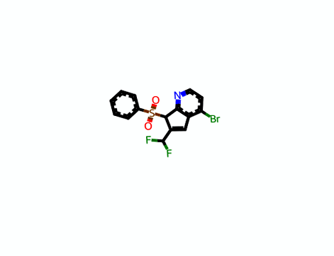 O=S(=O)(c1ccccc1)C1C(C(F)F)=Cc2c(Br)ccnc21